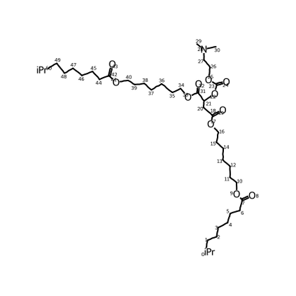 CC(C)CCCCCCC(=O)OCCCCCCCOC(=O)CC(OC(=O)OCCN(C)C)C(=O)OCCCCCCCOC(=O)CCCCCCC(C)C